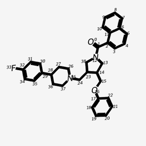 O=C(c1cccc2ccccc12)N1CC(COc2ccccc2)C(CN2CCC(c3ccc(F)cc3)CC2)C1